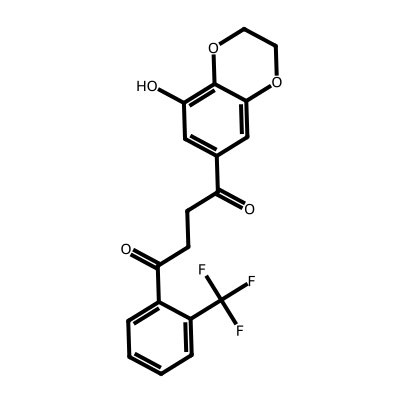 O=C(CCC(=O)c1ccccc1C(F)(F)F)c1cc(O)c2c(c1)OCCO2